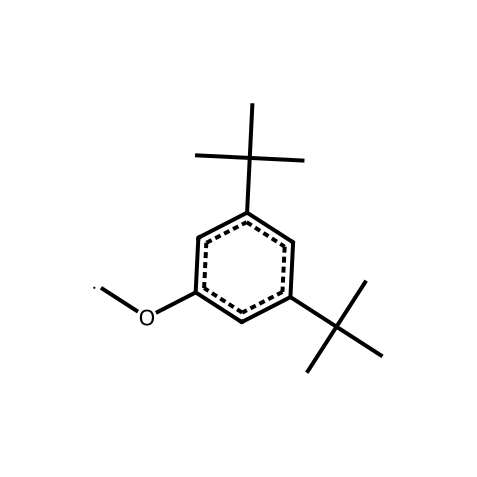 [CH2]Oc1cc(C(C)(C)C)cc(C(C)(C)C)c1